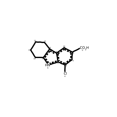 O=C(O)c1cc(Cl)c2[nH]c3c(c2c1)CCCC3